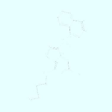 COc1cc(OCCCN)c2[nH]nc(S(=O)(=O)c3cccc4ccccc34)c2c1